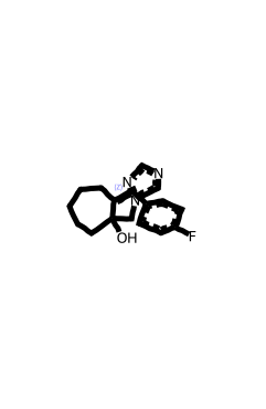 OC1(Cn2cncn2)CCCCC/C1=C/c1ccc(F)cc1